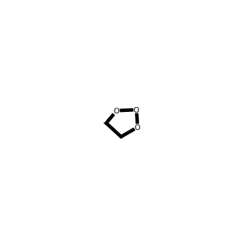 [CH]1COOO1